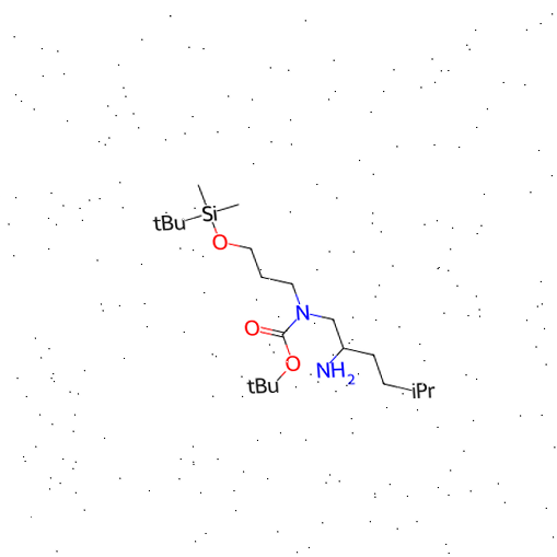 CC(C)CCC(N)CN(CCCO[Si](C)(C)C(C)(C)C)C(=O)OC(C)(C)C